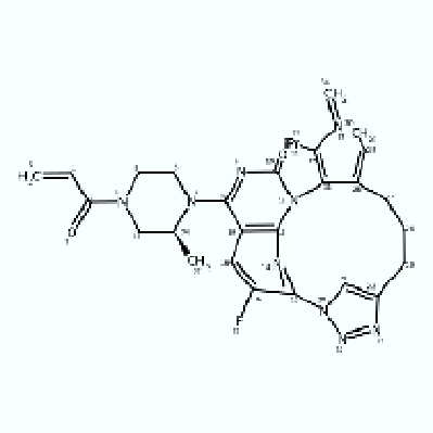 C=CC(=O)N1CCN(c2nc(=O)n3c4nc(c(F)cc24)-n2cc(nn2)CCCC(=C/C)/C3=C(\N=C)C(C)C)[C@@H](C)C1